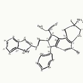 CC1(N)COc2c(Br)cc3c(c2C1)c(C(=O)O)c(CSc1nc2ccccc2[nH]1)n3-c1ccccc1